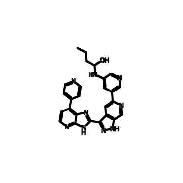 CCCC(O)Nc1cncc(-c2cc3c(-c4nc5c(-c6ccncc6)ccnc5[nH]4)n[nH]c3cn2)c1